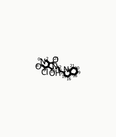 Cn1cc2c(c(Cl)c1=O)C(O)N(CCc1ccc3ccccc3n1)C2=O